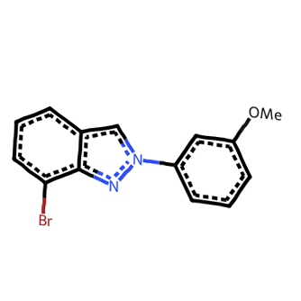 COc1cccc(-n2cc3cccc(Br)c3n2)c1